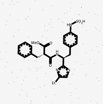 CCc1csc([C@H](Cc2ccc(NS(=O)(=O)O)cc2)NC(=O)[C@H](Cc2ccccc2)C(=O)OC)n1